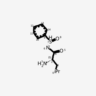 CC(C)C[C@H](N)C(=O)N=[SH](=O)c1ccccc1